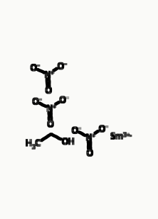 CCO.O=[N+]([O-])[O-].O=[N+]([O-])[O-].O=[N+]([O-])[O-].[Sm+3]